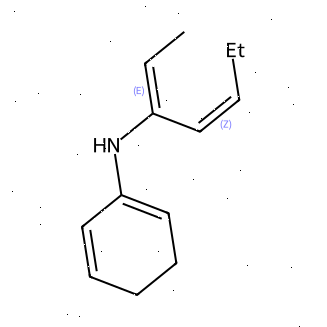 C/C=C(\C=C/CC)NC1=CCCC=C1